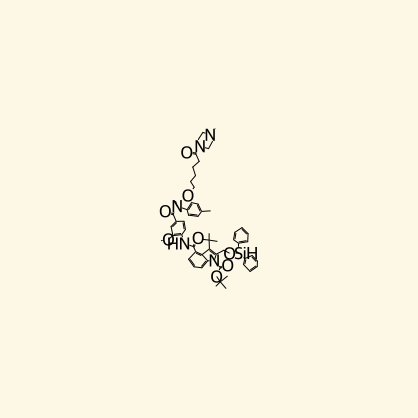 COc1cc(C(=O)N(C)c2ccc(C)cc2OCCCCCC(=O)N2CCN(C)CC2)ccc1NC(=O)c1cccc2c1c(C(C)(C)C)c(CO[SiH](c1ccccc1)c1ccccc1)n2C(=O)OC(C)(C)C